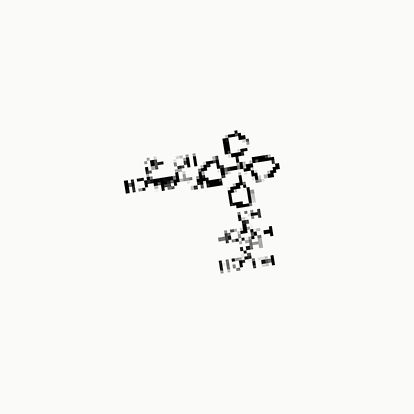 OB(O)O.OB(O)O.OB(O)O.OB(O)O.c1ccc([PH](c2ccccc2)(c2ccccc2)c2ccccc2)cc1